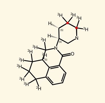 [2H]C1([2H])c2cccc3c2[C@@]([2H])(C([2H])([2H])N([C@@H]2CN4CC[C@H]2C([2H])([2H])C4([2H])[2H])C3=O)C([2H])([2H])C1([2H])[2H]